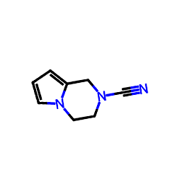 N#CN1CCn2cccc2C1